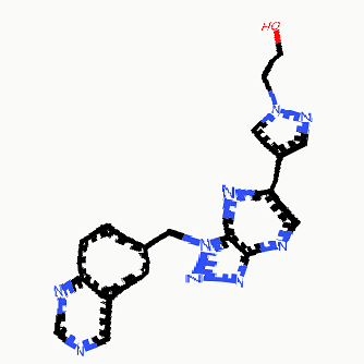 OCCn1cc(-c2cnc3nnn(Cc4ccc5ncncc5c4)c3n2)cn1